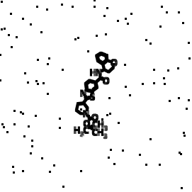 CC(C)(C)OC(=O)N1CCC=C(c2nc3ccc(C(=O)NC4CCOc5ccccc54)cc3s2)C1